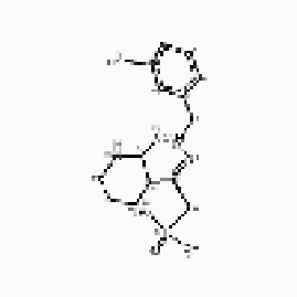 CCCc1cccc(CON=C(CP(=O)(O)O)C2CCCNC2C(=O)O)c1